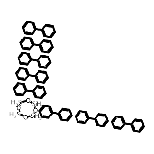 O1[SiH2]O[SiH2]O[SiH2]O[SiH2]1.c1ccc(-c2ccccc2)cc1.c1ccc(-c2ccccc2)cc1.c1ccc(-c2ccccc2)cc1.c1ccc(-c2ccccc2)cc1.c1ccc(-c2ccccc2)cc1.c1ccc(-c2ccccc2)cc1.c1ccc(-c2ccccc2)cc1.c1ccc(-c2ccccc2)cc1